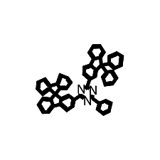 c1ccc(-c2nc(-c3ccc4c(c3)C(c3ccccc3)(c3ccccc3)c3ccccc3-4)nc(-c3ccc4c(c3)C3(c5ccccc5-c5ccccc53)c3ccccc3-4)n2)cc1